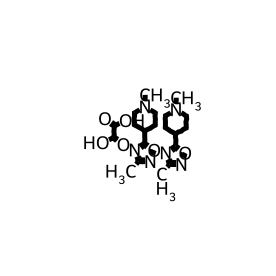 Cc1noc(C2CCN(C)CC2)n1.Cc1noc(C2CCN(C)CC2)n1.O=C(O)C(=O)O